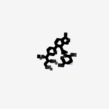 CCC(N)C(C)c1ccc(-c2ccc3[nH]ncc3c2C2CC2)nc1.O=C(O)/C=C\C(=O)O